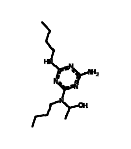 CCCCNc1nc(N)nc(N(CCCC)C(C)O)n1